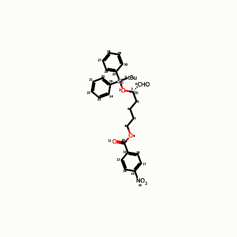 CC(C)(C)[Si](O[C@H](C=O)CCCCOC(=O)c1ccc([N+](=O)[O-])cc1)(c1ccccc1)c1ccccc1